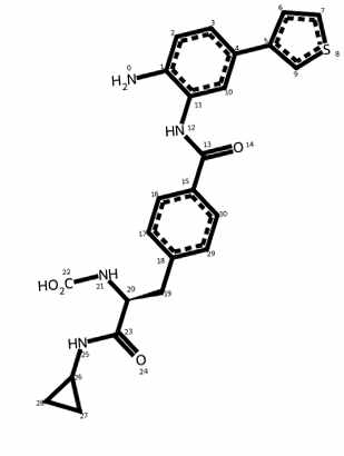 Nc1ccc(-c2ccsc2)cc1NC(=O)c1ccc(C[C@H](NC(=O)O)C(=O)NC2CC2)cc1